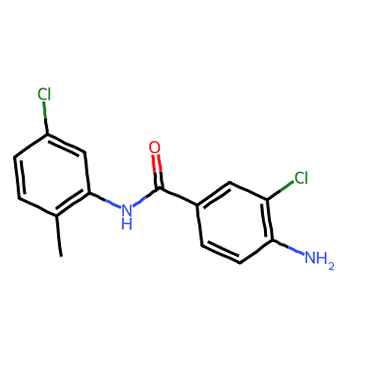 Cc1ccc(Cl)cc1NC(=O)c1ccc(N)c(Cl)c1